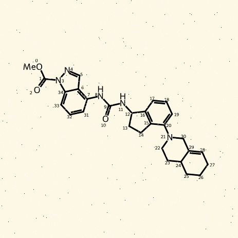 COC(=O)n1ncc2c(NC(=O)NC3CCc4c3cccc4N3CCC4CCCC=C4C3)cccc21